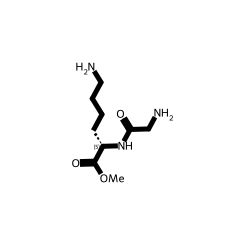 COC(=O)[C@H](CCCCN)NC(=O)CN